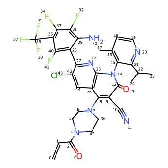 C=CC(=O)N1CCN(c2c(C#N)c(=O)n(-c3c(C)ccnc3C(C)C)c3nc(-c4c(N)c(F)c(F)c(C(F)(F)F)c4F)c(Cl)cc23)CC1